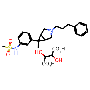 CC1(c2cccc(NS(C)(=O)=O)c2)C2CN(CCCc3ccccc3)CC21.O=C(O)C(O)C(O)C(=O)O